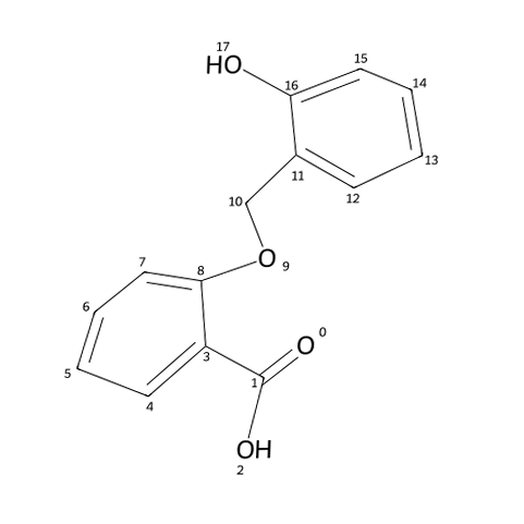 O=C(O)c1ccccc1OCc1ccccc1O